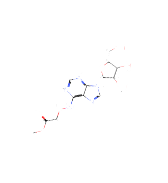 COC(=O)CONc1ncnc2c1ncn2[C@@H]1O[C@H](CO)C(O)C1O